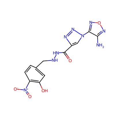 Nc1nonc1-n1cc(C(=O)NNCc2ccc([N+](=O)[O-])c(O)c2)nn1